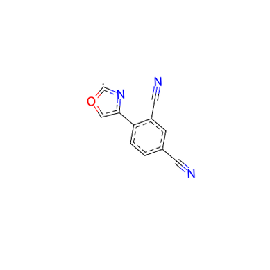 N#Cc1ccc(-c2co[c]n2)c(C#N)c1